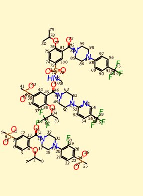 CC(C)Oc1ccc(S(C)(=O)=O)cc1C(=O)N1CCN(c2ccc(S(C)(=O)=O)cc2F)CC1.CC(Oc1ccc(S(C)(=O)=O)cc1C(=O)N1CCN(c2ccc(C(F)(F)F)cn2)CC1)C(F)(F)F.CNS(=O)(=O)c1ccc(OC(C)C)c(C(=O)N2CCN(c3ccc(C(F)(F)F)cc3)CC2)c1